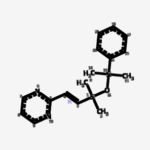 C[Si](C)(/C=C/c1ncccn1)O[Si](C)(C)c1ccccc1